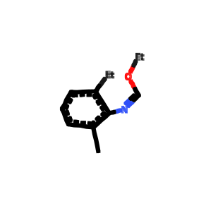 CCO/C=N\c1c(C)cccc1CC